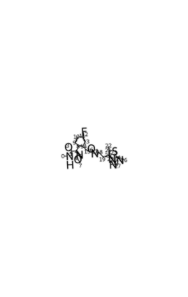 CNC(=O)C(=NOC)c1ccc(F)cc1CON=CCC1=C(C)SC2N(C)C=NN12